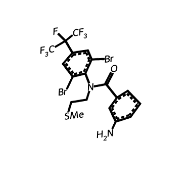 CSCCN(C(=O)c1cccc(N)c1)c1c(Br)cc(C(F)(C(F)(F)F)C(F)(F)F)cc1Br